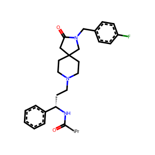 CC(C)C(=O)N[C@@H](CCN1CCC2(CC1)CC(=O)N(Cc1ccc(F)cc1)C2)c1ccccc1